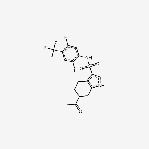 CC(=O)C1CCc2c(S(=O)(=O)Nc3cc(F)c(C(F)(F)F)cc3F)c[nH]c2C1